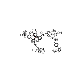 CCS(=O)(=O)Nc1ccc(-c2nn(COCC[Si](C)(C)C)c(Nc3ccc(C(=O)OCC(=O)NC(C(=O)N4C[C@H](O)C[C@H]4C(=O)NCc4ccc(-c5scnc5C)cc4)C(C)(C)C)cn3)c2C(N)=O)cc1OC(C)c1ccc(F)cc1